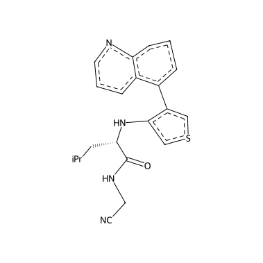 CC(C)C[C@H](Nc1cscc1-c1cccc2ncccc12)C(=O)NCC#N